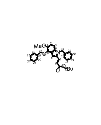 COc1ccc2c(cc(C=CC(=O)OC(C)(C)C)n2Cc2ccccc2)c1OCc1ccccc1